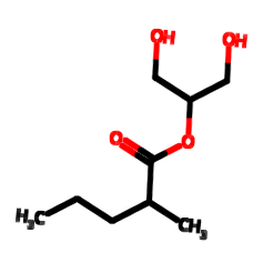 CCCC(C)C(=O)OC(CO)CO